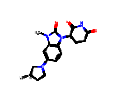 CC[C@@H]1CCN(c2ccc3c(c2)n(C)c(=O)n3C2CCC(=O)NC2=O)C1